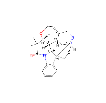 CC1(C)C(=O)N2c3ccccc3[C@@]34CCN5CC6=CCO[C@@H]1[C@@H]([C@H]23)[C@H]6C[C@@H]54